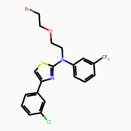 FC(F)(F)c1cccc(N(CCOCCBr)c2nc(-c3cccc(Cl)c3)cs2)c1